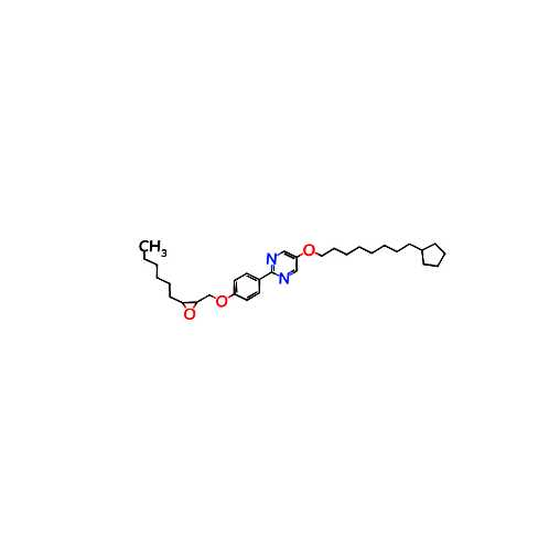 CCCCCCC1OC1COc1ccc(-c2ncc(OCCCCCCCCC3CCCC3)cn2)cc1